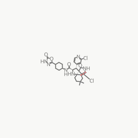 CC1(C)CCC2(CC1)N[C@@H](C(=O)NC1CCC(c3n[nH]c(=O)o3)CC1)[C@H](c1ccnc(Cl)c1)[C@]21C(=O)Nc2cc(Cl)ccc21